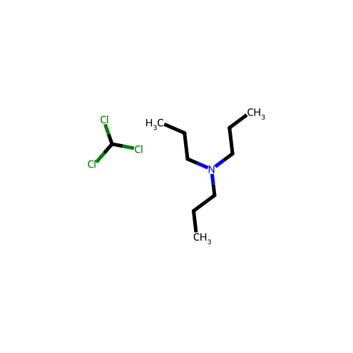 CCCN(CCC)CCC.ClC(Cl)Cl